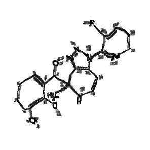 CC1(C(=O)c2cccc(C(F)(F)F)c2Cl)NC=Cc2c1nnn2-c1ncccc1F